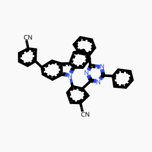 N#Cc1cccc(-c2ccc3c(c2)c2ccccc2n3-c2ccc(C#N)cc2-c2nc(-c3ccccc3)nc(-c3ccccc3)n2)c1